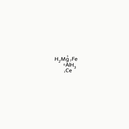 [AlH3].[Ce].[Fe].[MgH2]